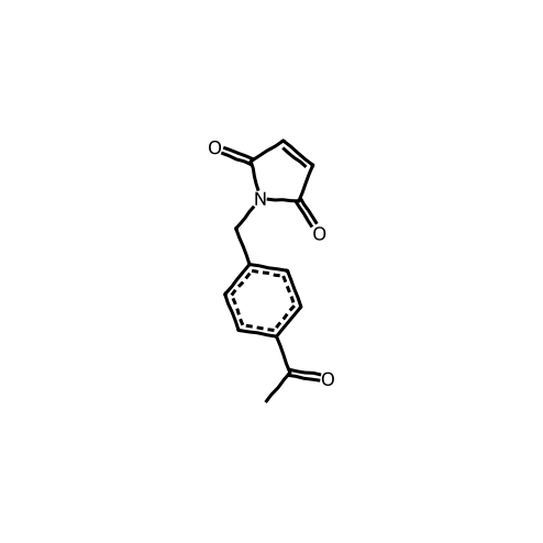 CC(=O)c1ccc(CN2C(=O)C=CC2=O)cc1